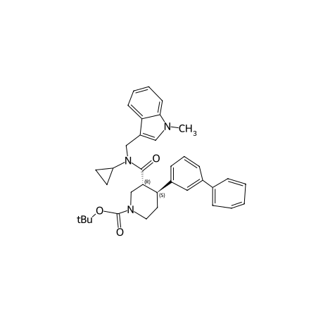 Cn1cc(CN(C(=O)[C@H]2CN(C(=O)OC(C)(C)C)CC[C@@H]2c2cccc(-c3ccccc3)c2)C2CC2)c2ccccc21